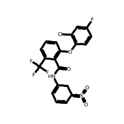 O=C(NC1=CC=CC(=S(=O)=O)C1)c1c(Oc2ccc(F)cc2Cl)cccc1C(F)(F)F